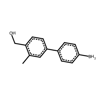 Bc1ccc(-c2ccc(CO)c(C)c2)cc1